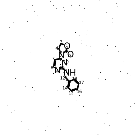 O=C1OCCN1c1ccnc(NCc2ccccc2)n1